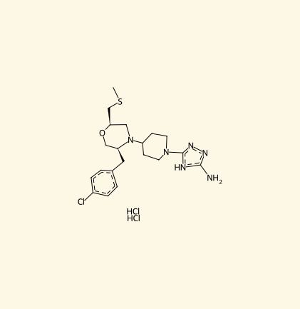 CSC[C@H]1CN(C2CCN(c3nnc(N)[nH]3)CC2)[C@@H](Cc2ccc(Cl)cc2)CO1.Cl.Cl